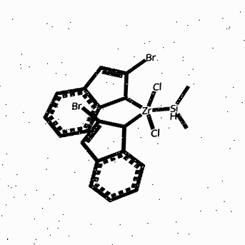 C[SiH](C)[Zr]([Cl])([Cl])([CH]1C(Br)=Cc2ccccc21)[CH]1C(Br)=Cc2ccccc21